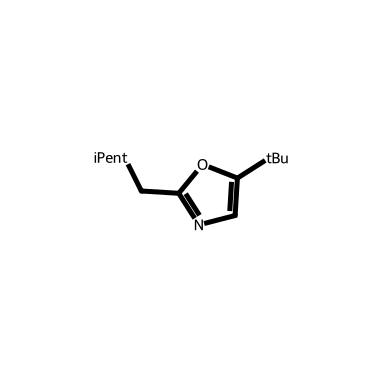 CCCC(C)Cc1ncc(C(C)(C)C)o1